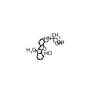 Cl.Cn1c2ccccc2c2oc3c(CNC(C)(CO)CO)cccc3c21